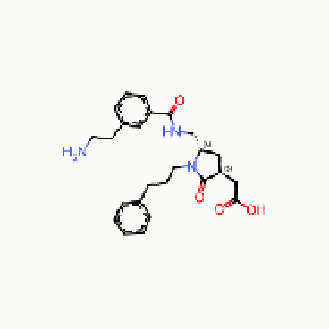 NCCc1cccc(C(=O)NC[C@@H]2C[C@@H](CC(=O)O)C(=O)N2CCCc2ccccc2)c1